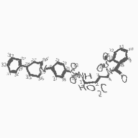 O=C(O)[C@@H](CCCN1C(=O)c2ccccc2S1(=O)=O)NS(=O)(=O)c1ccc(N2CCC(c3ccccc3)CC2)cc1